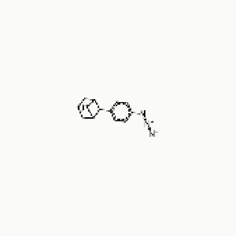 [N-]=[N+]=Nc1ccc(C2C3CCCC2C3=O)cc1